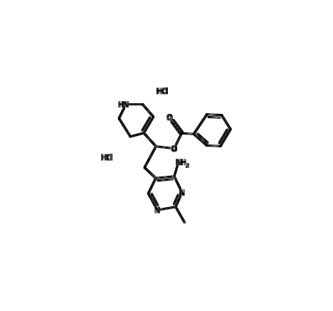 Cc1ncc(CC(OC(=O)c2ccccc2)C2=CCNCC2)c(N)n1.Cl.Cl